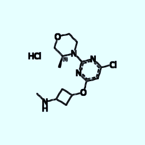 CNC1CC(Oc2cc(Cl)nc(N3CCOC[C@@H]3C)n2)C1.Cl